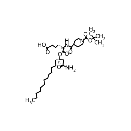 CCCCCCCCCCCCC[C@@H](CC(N)=O)OC(=O)[C@H](CCCC(=O)O)NC(=O)C1CCN(C(=O)OC(C)(C)C)CC1